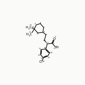 CC(C)C(=O)[C@H](CCC1CCCC(C)(C)C1)c1ccc(Cl)cc1